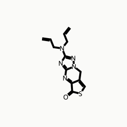 C=CCN(CC=C)c1nc2n(n1)CC1=CSC(=O)C1=N2